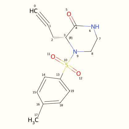 C#CC[C@@H]1C(=O)NCCN1S(=O)(=O)c1ccc(C)cc1